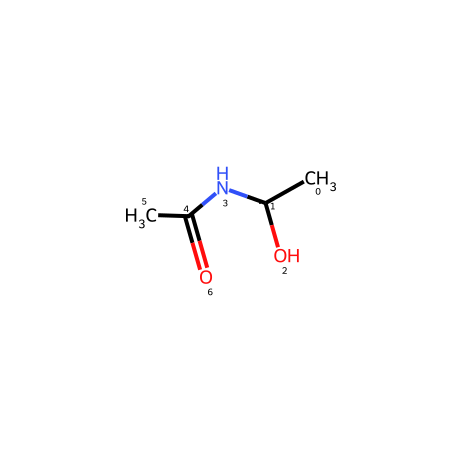 C[C](O)NC(C)=O